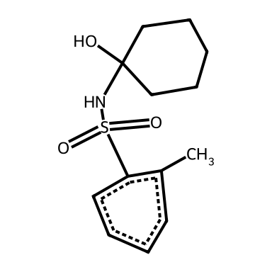 Cc1ccccc1S(=O)(=O)NC1(O)CCCCC1